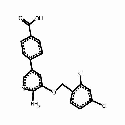 Nc1ncc(-c2ccc(C(=O)O)cc2)cc1OCc1ccc(Cl)cc1Cl